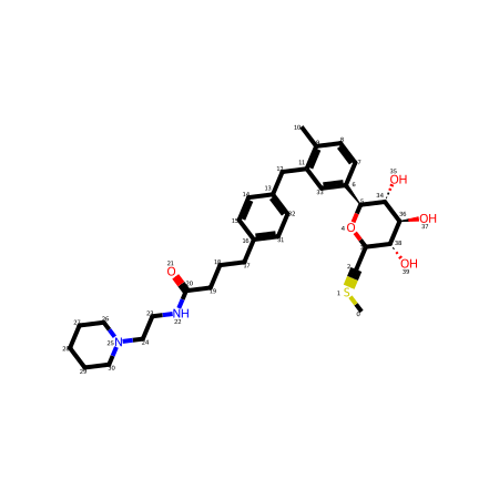 CS#CC1O[C@@H](c2ccc(C)c(Cc3ccc(CCCC(=O)NCCN4CCCCC4)cc3)c2)[C@H](O)[C@@H](O)[C@@H]1O